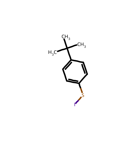 CC(C)(C)c1ccc(SI)cc1